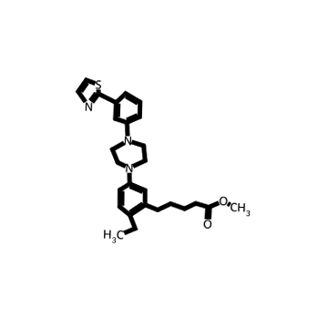 CCc1ccc(N2CCN(c3cccc(-c4nccs4)c3)CC2)cc1CCCCC(=O)OC